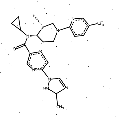 CC1N=CN(c2cnc(C(=O)N(C3CC3)[C@H]3CCN(c4ccc(C(F)(F)F)cn4)C[C@H]3F)cn2)N1